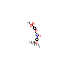 COC(=O)c1ccc(OCC2CC(=O)N(c3ccc(OC(C)C)cc3)C2)cc1